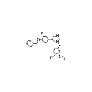 Fc1cc(C2=CN(Cc3ccc(Cl)c(C(F)(F)F)c3)CN=C2)ccc1OCc1ccccc1